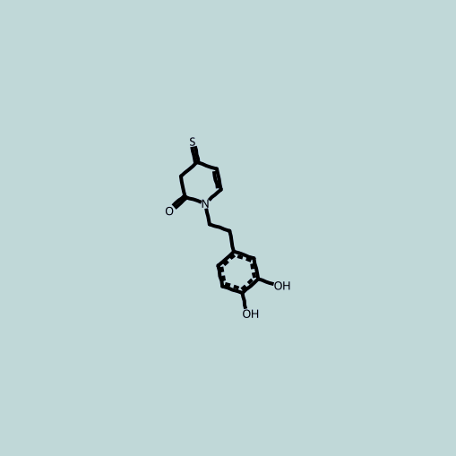 O=C1CC(=S)C=CN1CCc1ccc(O)c(O)c1